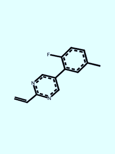 C=Cc1ncc(-c2cc(C)ccc2F)cn1